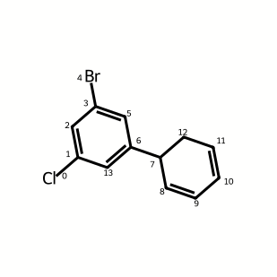 Clc1cc(Br)cc(C2C=CC=CC2)c1